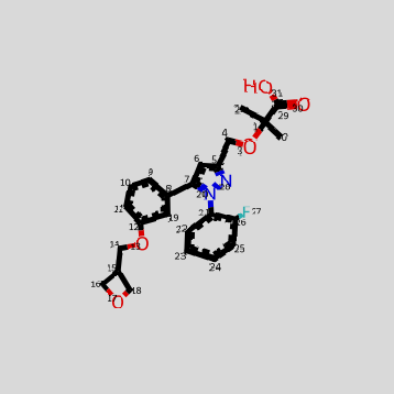 CC(C)(OCc1cc(-c2cccc(OCC3COC3)c2)n(-c2ccccc2F)n1)C(=O)O